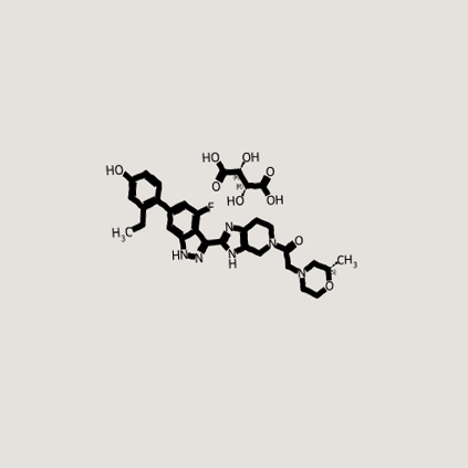 CCc1cc(O)ccc1-c1cc(F)c2c(-c3nc4c([nH]3)CN(C(=O)CN3CCO[C@@H](C)C3)CC4)n[nH]c2c1.O=C(O)[C@H](O)[C@@H](O)C(=O)O